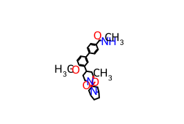 CCOC(=O)N1C2CCC1CC(N1CCC(c3cc(-c4ccc(C(=O)NC)cc4)ccc3OC)CC1)C2